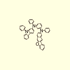 c1ccc(N(c2cccc(N(c3ccccc3)c3ccc4c5ccccc5n(-c5ccccc5)c4c3)c2)c2ccc3cc4oc5ccccc5c4cc3c2)cc1